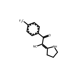 N#C/C(C(=O)c1ccc(C(F)(F)F)cc1)=C1\CCCN1